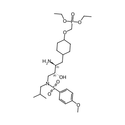 CCOP(=O)(COC1CCC(C[C@H](N)[C@H](O)CN(CC(C)C)S(=O)(=O)c2ccc(OC)cc2)CC1)OCC